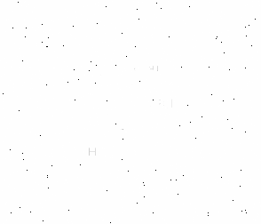 Cc1cc(Cl)c(C(C)(C)C)c(Cl)c1